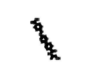 CC(CO)NC(=O)C1CC=C(c2ccc(OCC3CCN(C(=O)O)CC3)nc2)CC1